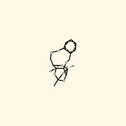 CC12OC3C4OCc5ccccc5COCC(O[C@@H]3O1)[C@H]4O2